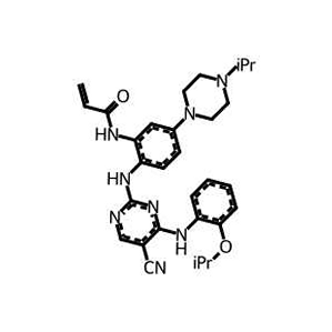 C=CC(=O)Nc1cc(N2CCN(C(C)C)CC2)ccc1Nc1ncc(C#N)c(Nc2ccccc2OC(C)C)n1